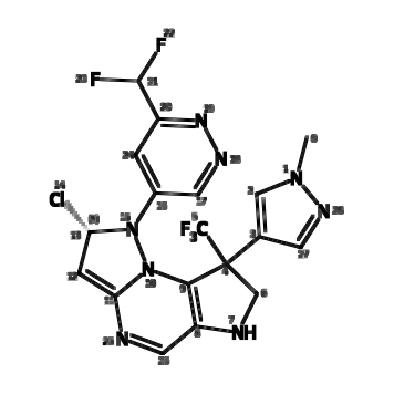 Cn1cc(C2(C(F)(F)F)CNC3=C2N2C(=C[C@H](Cl)N2c2cnnc(C(F)F)c2)N=C3)cn1